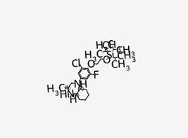 CC(C)[Si](OCCOc1c(F)cc(N2C[C@H](C)N[C@@H]3CCCC[C@H]32)cc1Cl)(C(C)C)C(C)C